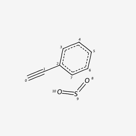 C#Cc1ccccc1.O=S=O